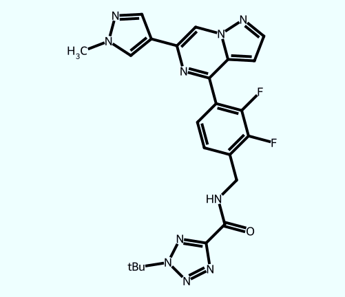 Cn1cc(-c2cn3nccc3c(-c3ccc(CNC(=O)c4nnn(C(C)(C)C)n4)c(F)c3F)n2)cn1